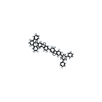 c1ccc(-c2nc(-c3ccccc3)nc(-c3ccc4c(c3)oc3cc(-c5ccc6c(c5)oc5cc(-n7c8ccccc8c8cccc(-c9ccccc9)c87)ccc56)ccc34)n2)cc1